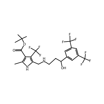 Cc1[nH]c(CNCCC(O)c2cc(C(F)(F)F)cc(C(F)(F)F)c2)c(C(F)(F)F)c1C(=O)OC(C)(C)C